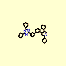 C1=CCC(c2nc(C3=CC=CC(C4C=C(c5cc(C6=CCCCC6)ncc5C5C=CC=CC5)C=CC4)C3)nc(-c3ccccc3)n2)C=C1